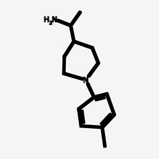 Cc1ccc(N2CCC(C(C)N)CC2)cc1